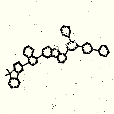 CC1(C)c2ccccc2-c2cc(-c3ccc(-c4ccc5oc6c(-c7cc(-c8ccc(-c9ccccc9)cc8)nc(-c8ccccc8)n7)cccc6c5c4)c4ccccc34)ccc21